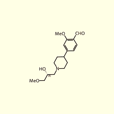 COC[C@H](O)CN1CCC(c2ccc(C=O)c(OC)c2)CC1